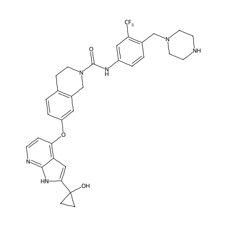 O=C(Nc1ccc(CN2CCNCC2)c(C(F)(F)F)c1)N1CCc2ccc(Oc3ccnc4[nH]c(C5(O)CC5)cc34)cc2C1